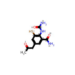 CC(=O)Cc1cc(S)c(NC(N)=O)c(C(N)=O)c1